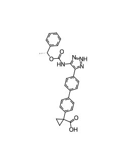 C[C@@H](OC(=O)Nc1n[nH]nc1-c1ccc(-c2ccc(C3(C(=O)O)CC3)cc2)cc1)c1ccccc1